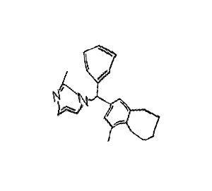 Cc1cc(C(c2ccccc2)n2ccnc2C)cc2c1CCCC2